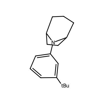 CC(C)(C)c1cccc(N2C3CCCC2CC3)c1